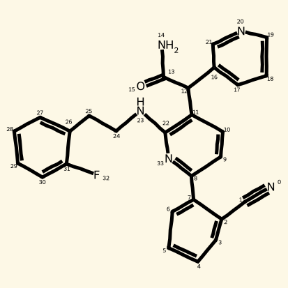 N#Cc1ccccc1-c1ccc(C(C(N)=O)c2cccnc2)c(NCCc2ccccc2F)n1